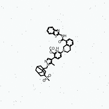 Cc1c(-c2ccc(N3CCc4cccc(C(=O)Nc5nc6ccccc6s5)c4C3)nc2OC(=O)O)cnn1CC12CC3CC(C1)CC(S(C)(=O)=O)(C3)C2